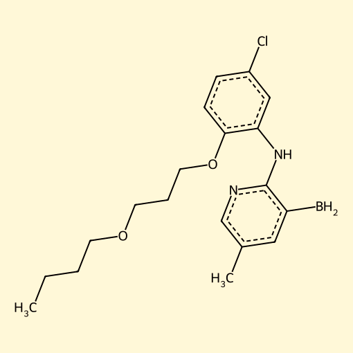 Bc1cc(C)cnc1Nc1cc(Cl)ccc1OCCCOCCCC